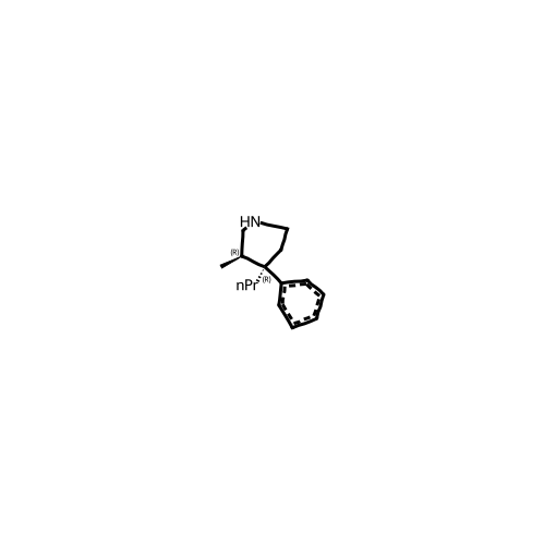 CCC[C@@]1(c2ccccc2)CCNC[C@@H]1C